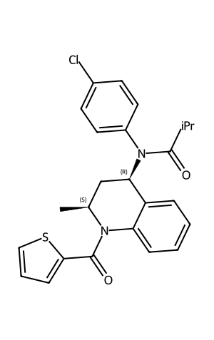 CC(C)C(=O)N(c1ccc(Cl)cc1)[C@@H]1C[C@H](C)N(C(=O)c2cccs2)c2ccccc21